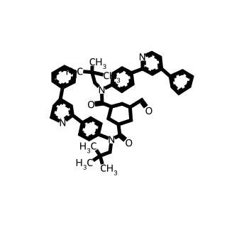 CC(C)(C)CN(C(=O)C1CC(C=O)CC(C(=O)N(CC(C)(C)C)c2ccc(-c3cc(-c4ccccc4)ccn3)cc2)C1)c1ccc(-c2cc(-c3ccccc3)ccn2)cc1